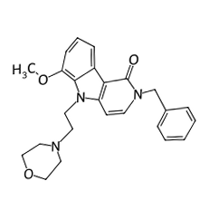 COc1cccc2c3c(=O)n(Cc4ccccc4)ccc3n(CCN3CCOCC3)c12